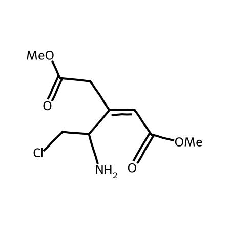 COC(=O)C=C(CC(=O)OC)C(N)CCl